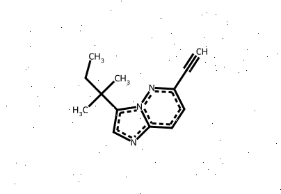 C#Cc1ccc2ncc(C(C)(C)CC)n2n1